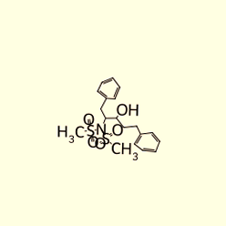 CS(=O)(=O)N(C(Cc1ccccc1)C(O)CCc1ccccc1)S(C)(=O)=O